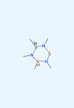 CN1SN(C)[SH](C)N(C)[SiH]1C